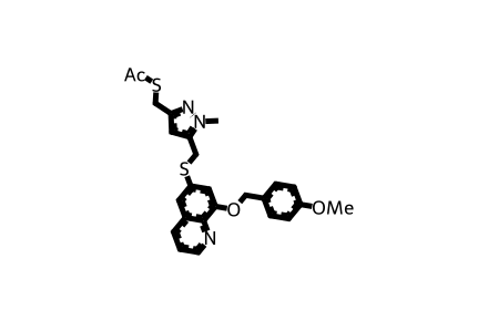 COc1ccc(COc2cc(SCc3cc(CSC(C)=O)nn3C)cc3cccnc23)cc1